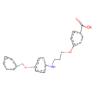 O=C(O)c1ccc(OCCCNc2ccc(OCc3ccccc3)cc2)cc1